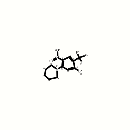 O=[N+]([O-])c1cc(C(F)(F)F)c(Br)cc1N1CCCCC1